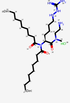 CCCCCCCCCCCCCCCCCC(=O)N(C(=O)CCCCCCCCCCCCCCCCC)[C@@H](CCCCNNC(=N)N)C(=O)N(C)CCN.Cl